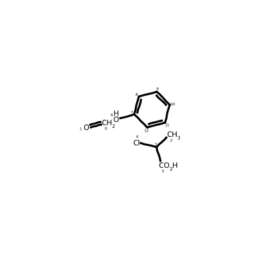 C=O.CC(Cl)C(=O)O.Oc1ccccc1